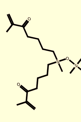 C=C(C)C(=O)CCCC[Si](C)(CCCCC(=O)C(=C)C)O[Si](C)(C)C